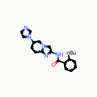 CCCCc1ccccc1C(=O)Nc1cn2cc(-n3ccnc3)ccc2n1